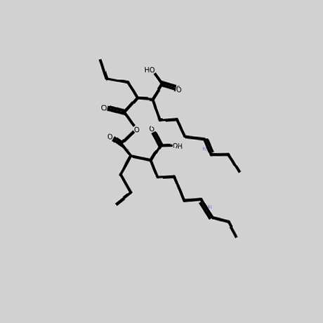 CC/C=C/CCCC(C(=O)O)C(CCC)C(=O)OC(=O)C(CCC)C(CCC/C=C/CC)C(=O)O